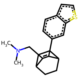 CN(C)CC1=C(c2ccc3ccsc3c2)C2CCC1CC2